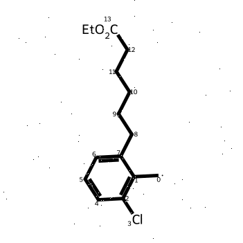 [CH2]c1c(Cl)cccc1C[CH]CCCC(=O)OCC